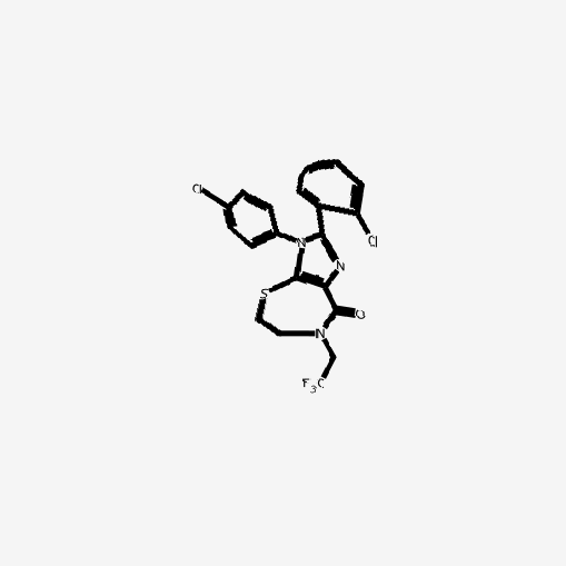 O=C1c2nc(-c3ccccc3Cl)n(-c3ccc(Cl)cc3)c2SCCN1CC(F)(F)F